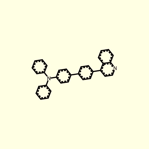 c1ccc(N(c2ccccc2)c2ccc(-c3ccc(-c4ccnc5ccccc45)cc3)cc2)cc1